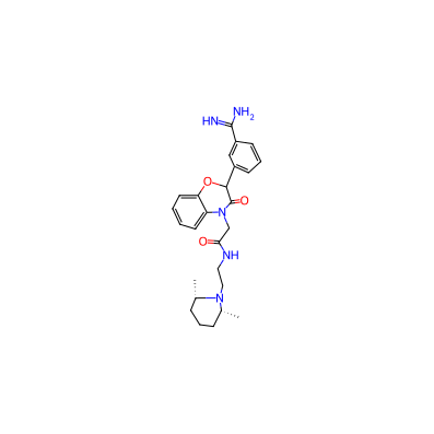 C[C@@H]1CCC[C@H](C)N1CCNC(=O)CN1C(=O)C(c2cccc(C(=N)N)c2)Oc2ccccc21